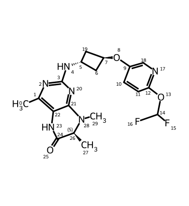 Cc1nc(N[C@H]2C[C@H](Oc3ccc(OC(F)F)nc3)C2)nc2c1NC(=O)[C@H](C)N2C